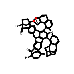 CC(C)C12CCC(C)(CC1)c1cc3c4c5c6c7c(ccc6n6c8ccc9c(c8c(c8c%10cc%11c(cc%10n(c3cc1C2=O)c48)C(=O)C1(C(C)C)CCC%11(C)CC1)c56)C1CC2CC3CC9CC321)C1CC2CC(C1)C7C2